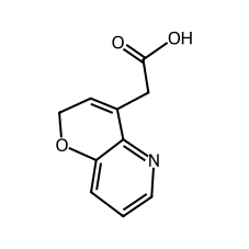 O=C(O)CC1=CCOc2cccnc21